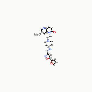 COc1cnc2ccc(=O)n(CCN3CCC(NCc4cc(-c5ccco5)on4)CC3)c2c1